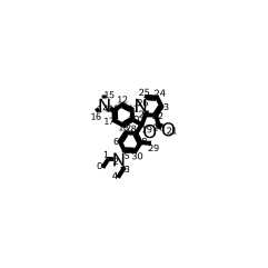 CCN(CC)c1ccc(C2(c3ccc(N(C)C)cc3)OC(=O)c3cccnc32)c(C)c1